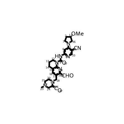 CO[C@@H]1CCN(c2cc(NC(=O)N3CCCc4cc(CN5CCN(C)CC5=C=O)c(C=O)nc43)ncc2C#N)C1